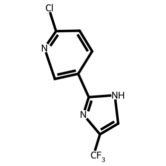 FC(F)(F)c1c[nH]c(-c2ccc(Cl)nc2)n1